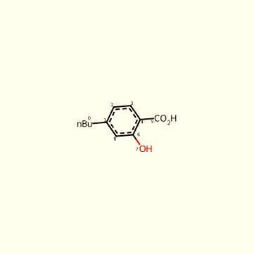 CCCCc1ccc(C(=O)O)c(O)c1